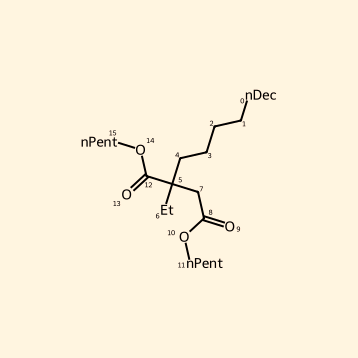 CCCCCCCCCCCCCCC(CC)(CC(=O)OCCCCC)C(=O)OCCCCC